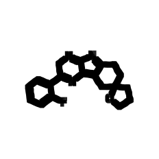 Fc1ccccc1C1=NC2=C3CC4(CCCO4)CCC3=NC2=NC1